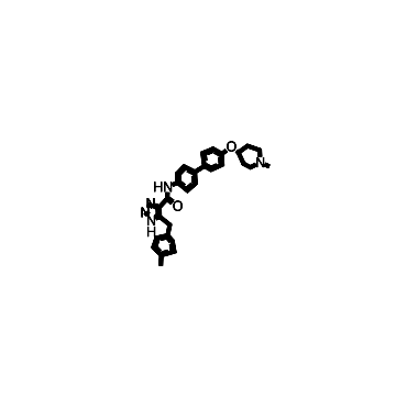 Cc1ccc(Cc2[nH]nnc2C(=O)Nc2ccc(-c3ccc(OC4CCN(C)CC4)cc3)cc2)cc1